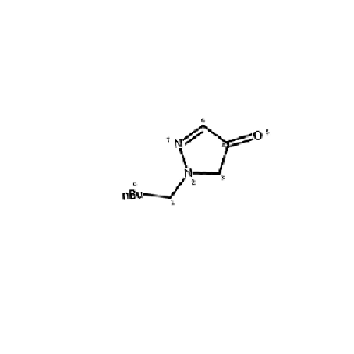 CCCCCN1CC(=O)C=N1